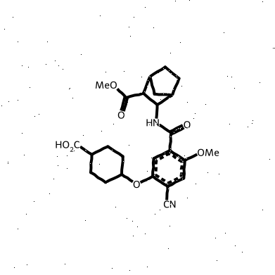 COC(=O)C1C2CCC(C2)C1NC(=O)c1cc(OC2CCC(C(=O)O)CC2)c(C#N)cc1OC